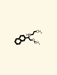 CCCNC(COC)c1ccc2ccccc2c1